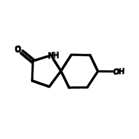 O=C1CCC2(CCC(O)CC2)N1